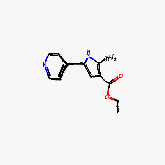 Bc1[nH]c(-c2ccncc2)cc1C(=O)OCC